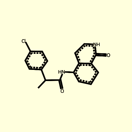 CC(C(=O)Nc1cccc2c(=O)[nH]ccc12)c1ccc(Cl)cc1